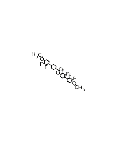 CCOc1ccc(C2=CCC(C(=O)Oc3ccc(-c4ccc(OCC)c(F)c4F)c(F)c3F)CC2)c(F)c1F